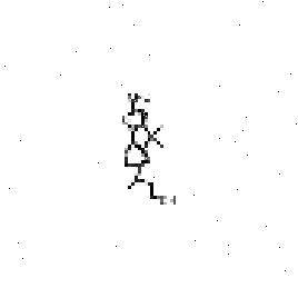 CN(CCO)c1ccc2c(c1)C(C)(C)c1cc(C=O)oc1-2